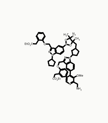 CCOC(=O)Cc1ccccc1OCc1nn(C2CCCC2)c2ccc(B3OC(C)(C)C(C)(CC4CCC(n5nc(COc6ccccc6CC(=O)OCC)c6cc(-c7ccnc(CN)c7OC)ccc65)C4)O3)cc12